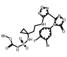 CC(C)(C)OC(=O)NS(=O)(=O)NC1(CCNc2nonc2-c2noc(=O)n2-c2ccc(F)c(Br)c2)CC1